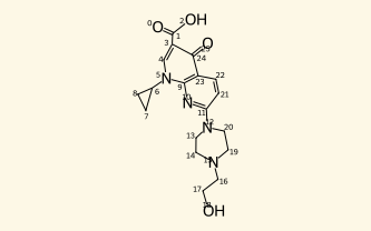 O=C(O)c1cn(C2CC2)c2nc(N3CCN(CCO)CC3)ccc2c1=O